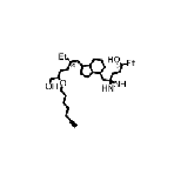 C#CCCCCCOC(CO)CC[C@@H](CC)CC1CCC2C(CC3(CC[C@@H](O)CC)NN3)CCCC12